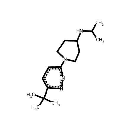 CC(C)NC1CCN(c2ccc(C(C)(C)C)nn2)CC1